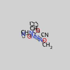 C=CC(=O)N1CCN(c2nc(OCC3CCCN3C)nc3c2COC(c2cccc4cccc(C)c24)C3)C[C@@H]1CC#N